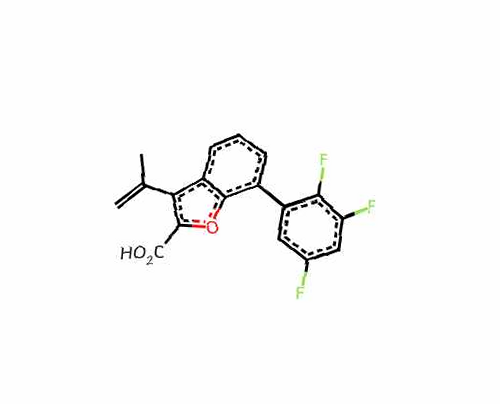 C=C(C)c1c(C(=O)O)oc2c(-c3cc(F)cc(F)c3F)cccc12